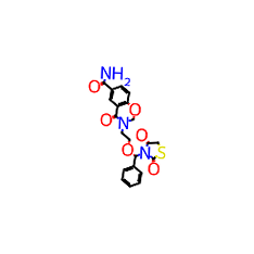 NC(=O)c1ccc2c(c1)C(=O)N(CCOC(c1ccccc1)N1C(=O)CSC1=O)CO2